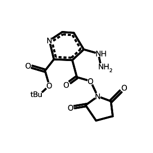 CC(C)(C)OC(=O)c1nccc(NN)c1C(=O)ON1C(=O)CCC1=O